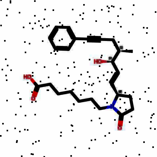 C[C@@H](CC#Cc1ccccc1)[C@@H](O)C=C[C@H]1CCC(=O)N1CCCCCCC(=O)O